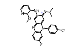 COc1ncccc1Nc1cc2nc3ccc(F)cc3n(-c3ccc(Cl)cc3)c-2c/c1=N\C(C)C